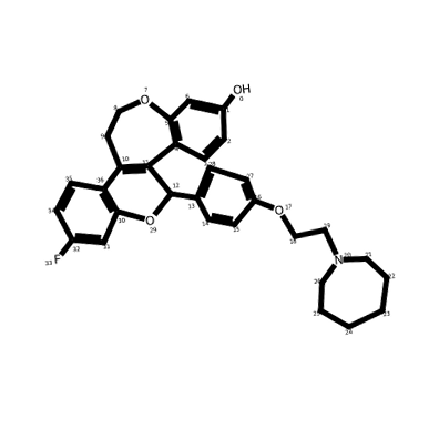 Oc1ccc2c(c1)OCCC1=C2C(c2ccc(OCCN3CCCCCC3)cc2)Oc2cc(F)ccc21